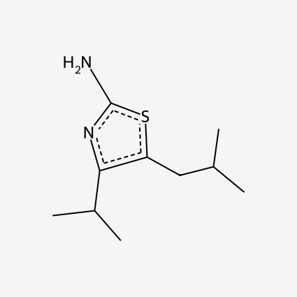 CC(C)Cc1sc(N)nc1C(C)C